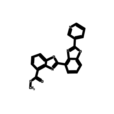 COC(=O)c1cccc2oc(-c3cccc4oc(-c5cccnc5)nc34)nc12